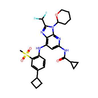 CS(=O)(=O)c1cc(C2CCC2)ccc1Nc1cc(NC(=O)C2CC2)nc2c1nc(C(F)F)n2C1CCCCO1